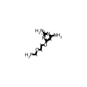 Nc1cc(OCCOCP)nc(N)n1